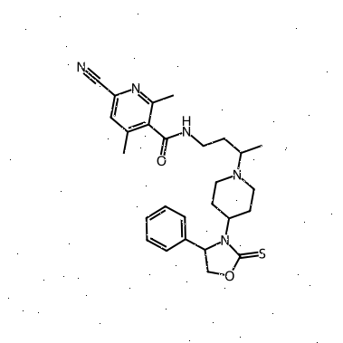 Cc1cc(C#N)nc(C)c1C(=O)NCCC(C)N1CCC(N2C(=S)OCC2c2ccccc2)CC1